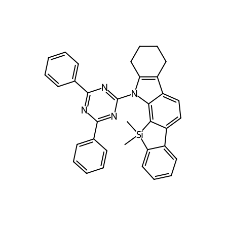 C[Si]1(C)c2ccccc2-c2ccc3c4c(n(-c5nc(-c6ccccc6)nc(-c6ccccc6)n5)c3c21)CCCC4